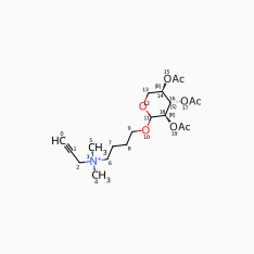 C#CC[N+](C)(C)CCCCOC1OC[C@@H](OC(C)=O)[C@H](OC(C)=O)[C@H]1OC(C)=O